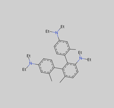 CCN(CC)c1ccc(-c2c(C)ccc(N(CC)CC)c2-c2ccc(N(CC)CC)cc2C)c(C)c1